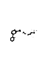 CC(=O)N[C@@H](CC(=O)NC(C)(C)C)C(=O)NCCNC(=O)c1cc(-c2ccccc2F)ccc1F